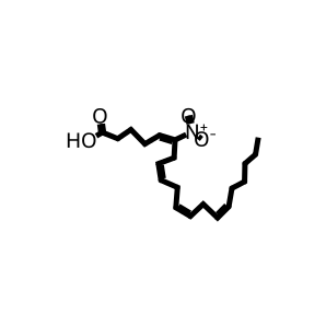 CCCCC/C=C\C/C=C\C/C=C\C/C(=C\CCCC(=O)O)[N+](=O)[O-]